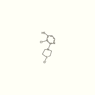 [O-][S+]1CCN(c2nccc(S)c2Cl)CC1